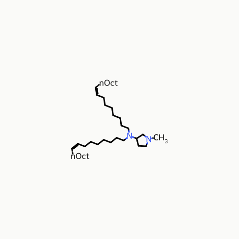 CCCCCCCC/C=C\CCCCCCCN(CCCCCCC/C=C\CCCCCCCC)C1CCN(C)C1